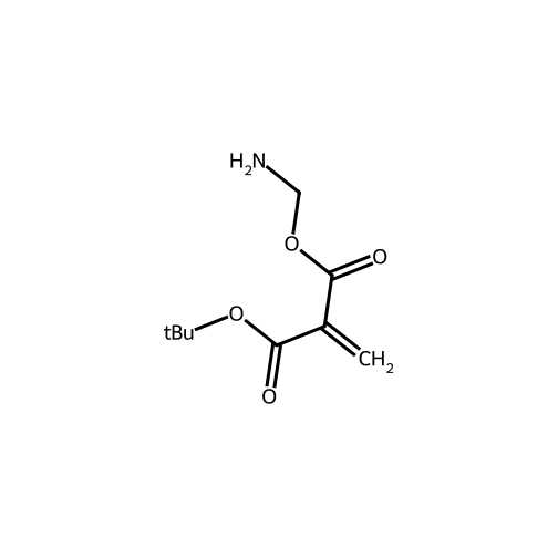 C=C(C(=O)OCN)C(=O)OC(C)(C)C